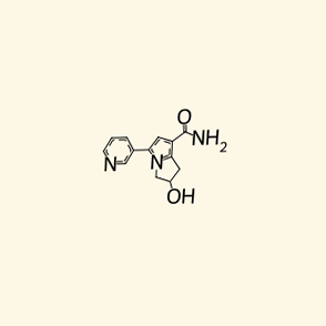 NC(=O)c1cc(-c2cccnc2)n2c1CC(O)C2